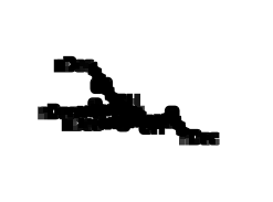 CCCCCCCCCCCCCCCC(=O)OCCCCCC(O)C(CCCCOC(=O)CCCCCCCCCCCCCCC)CN(C)CCCN(C)CC(CCCCOC(=O)CCCCCCCCCCCCCCC)C(O)CCCCCOC(=O)CCCCCCCCCCCCCCC